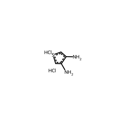 Cl.Cl.Nc1cscc1N